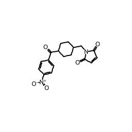 O=C(c1ccc([N+](=O)[O-])cc1)C1CCC(CN2C(=O)C=CC2=O)CC1